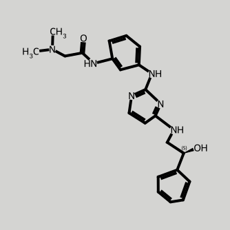 CN(C)CC(=O)Nc1cccc(Nc2nccc(NC[C@@H](O)c3ccccc3)n2)c1